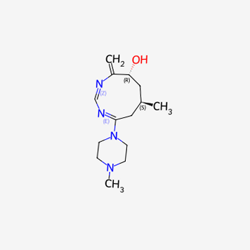 C=C1/N=C\N=C(\N2CCN(C)CC2)C[C@H](C)C[C@H]1O